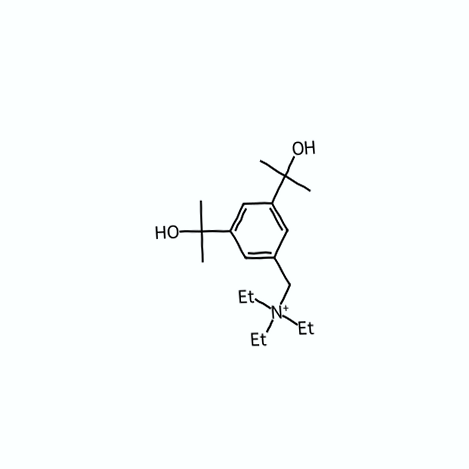 CC[N+](CC)(CC)Cc1cc(C(C)(C)O)cc(C(C)(C)O)c1